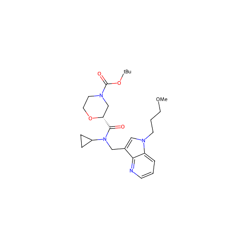 COCCCn1cc(CN(C(=O)[C@H]2CN(C(=O)OC(C)(C)C)CCO2)C2CC2)c2ncccc21